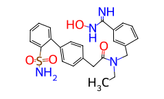 CCN(Cc1cccc(C(=N)NO)c1)C(=O)Cc1ccc(-c2ccccc2S(N)(=O)=O)cc1